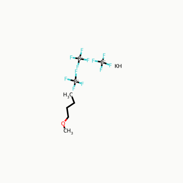 CCCCOC.F[B-](F)(F)F.F[B-](F)(F)F.F[B-](F)(F)F.[KH]